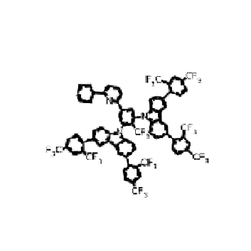 FC(F)(F)c1ccc(-c2ccc3c(c2)c2cc(-c4ccc(C(F)(F)F)cc4C(F)(F)F)ccc2n3-c2cc(-c3cccc(-c4ccccc4)n3)cc(-n3c4ccc(-c5ccc(C(F)(F)F)cc5C(F)(F)F)cc4c4cc(-c5ccc(C(F)(F)F)cc5C(F)(F)F)ccc43)c2C(F)(F)F)c(C(F)(F)F)c1